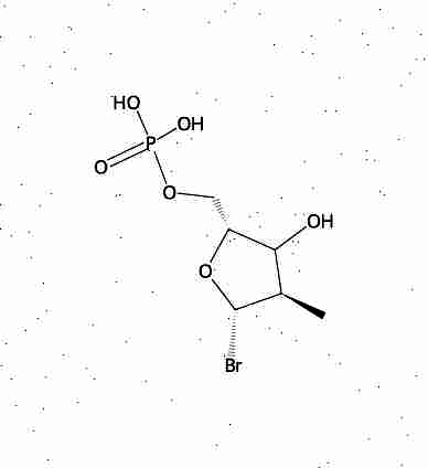 C[C@@H]1C(O)[C@@H](COP(=O)(O)O)O[C@H]1Br